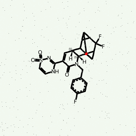 O=C1C(C2=NS(=O)(=O)C=CN2)=C[C@@H]2C3C4C5C(C6C3C6C(F)(F)C45)[C@@H]2N1Cc1ccc(F)cc1